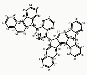 N=C(c1ccccc1C(=N)n1c2cc3ccccc3cc2c2c3c4ccccc4n4c5ccccc5c(cc21)c34)n1c2ccccc2c2c3ccccc3ccc21